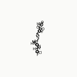 C=CC(=O)Nc1cc2c(Nc3ccc(F)c(Cl)c3)ncnc2cc1OCCCN1CCN(Cc2cc(F)c3c(c2)C(=O)N(C2CCC(=O)NC2=O)C3=O)CC1